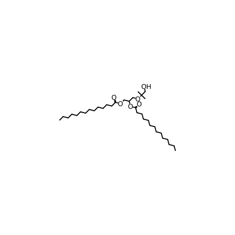 CCCCCCCCCCCCCC(=O)OCC(COC(C)(C)CO)OC(=O)CCCCCCCCCCCCC